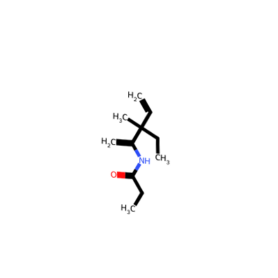 C=CC(C)(CC)C(=C)NC(=O)CC